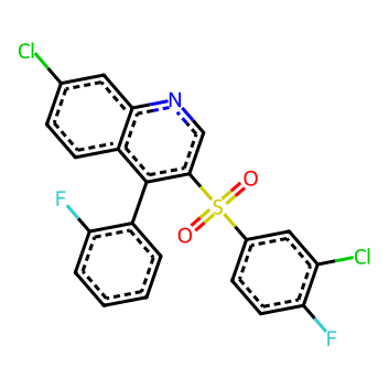 O=S(=O)(c1ccc(F)c(Cl)c1)c1cnc2cc(Cl)ccc2c1-c1ccccc1F